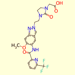 COc1cc2nn(CCN3CCN(CC(=O)O)C3=O)cc2cc1NC(=O)c1cccc(C(F)(F)F)n1